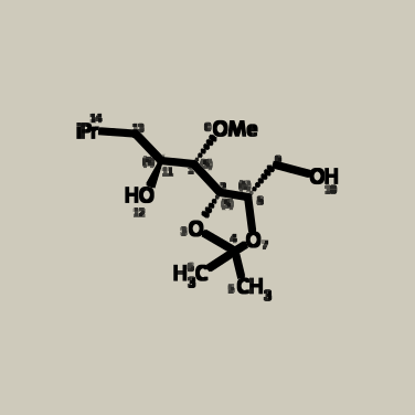 CO[C@H]([C@H]1OC(C)(C)O[C@H]1CO)[C@@H](O)CC(C)C